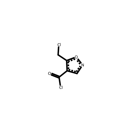 O=C(Cl)c1cnoc1CCl